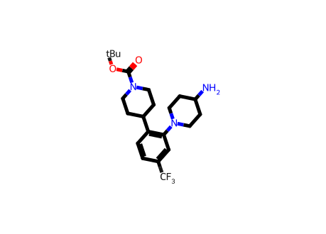 CC(C)(C)OC(=O)N1CCC(c2ccc(C(F)(F)F)cc2N2CCC(N)CC2)CC1